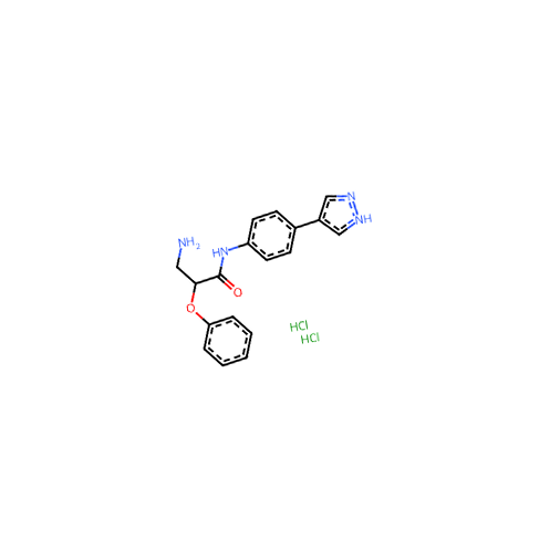 Cl.Cl.NCC(Oc1ccccc1)C(=O)Nc1ccc(-c2cn[nH]c2)cc1